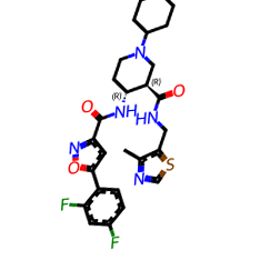 Cc1ncsc1CNC(=O)[C@@H]1CN(C2CCCCC2)CC[C@H]1NC(=O)c1cc(-c2ccc(F)cc2F)on1